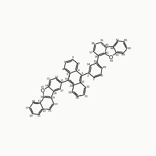 c1cc(-c2c3ccccc3c(-c3ccc4oc5c6ccccc6ccc5c4c3)c3ccccc23)cc(-c2cccc3c2oc2ccccc23)c1